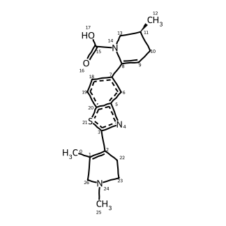 CC1=C(c2nc3cc(C4=CC[C@H](C)CN4C(=O)O)ccc3s2)CCN(C)C1